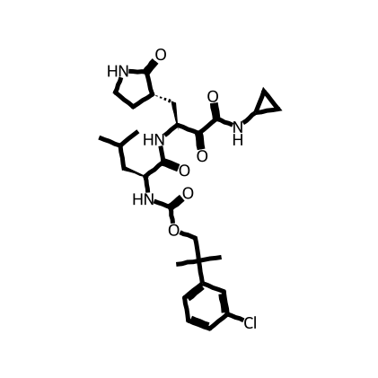 CC(C)C[C@H](NC(=O)OCC(C)(C)c1cccc(Cl)c1)C(=O)N[C@@H](C[C@@H]1CCNC1=O)C(=O)C(=O)NC1CC1